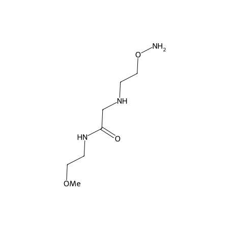 COCCNC(=O)CNCCON